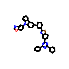 C1=C(c2nc(-c3ccccc3)nc(-c3ccccc3)n2)C=C2N=C(c3cccc(-c4ccc5c(c4)c4ccccc4n5-c4ccc5ocnc5c4)c3)SC2C1